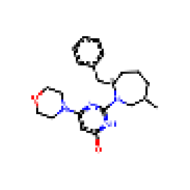 CC1CCC[C@H](Cc2ccccc2)N(c2nc(N3CCOCC3)cc(=O)[nH]2)C1